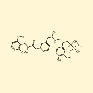 COc1cccc(OC)c1CNC(=O)CC1C=CC=C(C[C@@H](C)NC[C@H](CC(C)(C)[Si](C)(C)O)c2ccc(O)c(CO)c2)C1